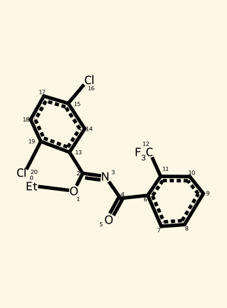 CCOC(=NC(=O)c1ccccc1C(F)(F)F)c1cc(Cl)ccc1Cl